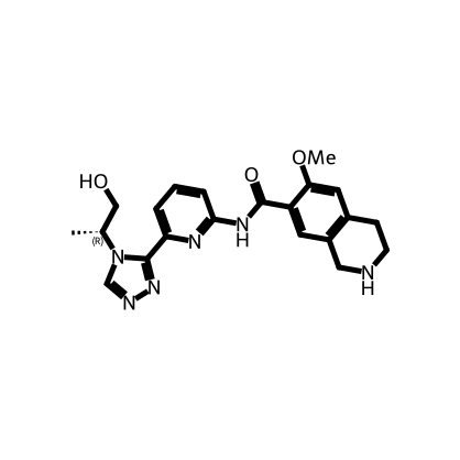 COc1cc2c(cc1C(=O)Nc1cccc(-c3nncn3[C@H](C)CO)n1)CNCC2